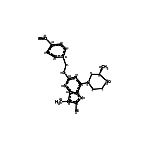 CCc1nc2c(N3C[CH2][No][C@H](C)C3)nc(SCc3ccc(OC)cc3)nc2n1C